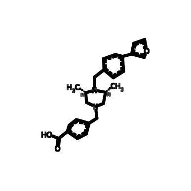 C[C@@H]1CN(Cc2ccc(C(=O)O)cc2)C[C@H](C)N1Cc1ccc(-c2ccoc2)cc1